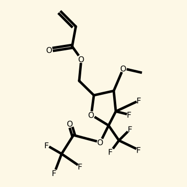 C=CC(=O)OCC1OC(OC(=O)C(F)(F)F)(C(F)(F)F)C(F)(F)C1OC